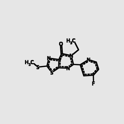 CCn1c(-c2cc(F)ccn2)nc2sc(SC)nc2c1=O